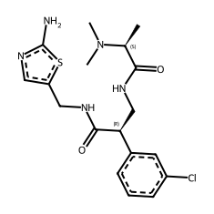 C[C@@H](C(=O)NC[C@H](C(=O)NCc1cnc(N)s1)c1cccc(Cl)c1)N(C)C